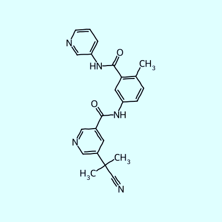 Cc1ccc(NC(=O)c2cncc(C(C)(C)C#N)c2)cc1C(=O)Nc1cccnc1